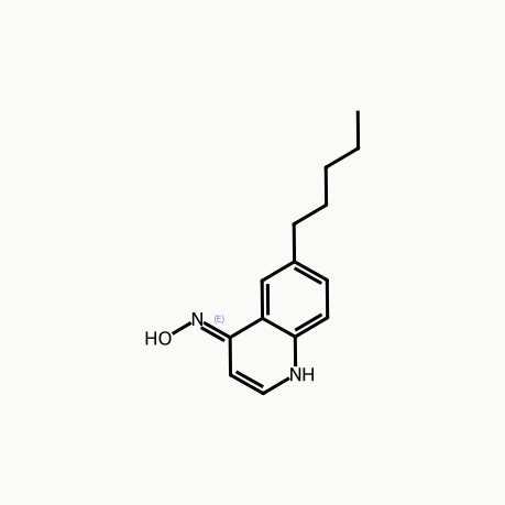 CCCCCc1ccc2[nH]cc/c(=N\O)c2c1